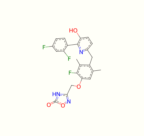 Cc1cc(OCc2noc(=O)[nH]2)c(F)c(C)c1Cc1ccc(O)c(-c2ccc(F)cc2F)n1